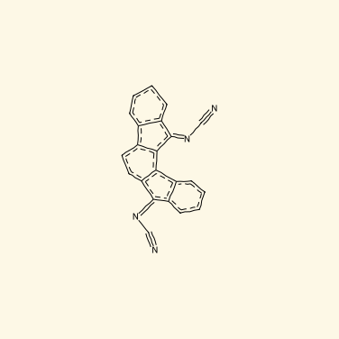 N#C/N=c1\c2ccccc2c2c1ccc1c3ccccc3/c(=N\C#N)c12